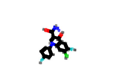 NC(=O)c1cn(-c2ccc(F)cc2)c2cc(Cl)c(F)cc2c1=O